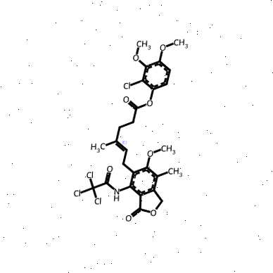 COc1ccc(OC(=O)CC/C(C)=C/Cc2c(NC(=O)C(Cl)(Cl)Cl)c3c(c(C)c2OC)COC3=O)c(Cl)c1OC